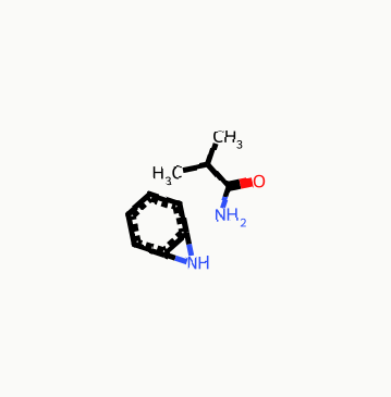 CC(C)C(N)=O.c1ccc2c(c1)N2